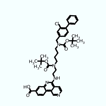 CC(C)(C)OC(=O)N(CCCCN(Cc1ccc(-c2ccccc2)c(Cl)c1)C(=O)OC(C)(C)C)CCNc1nc2cc(C(=O)O)ccc2c2cnccc12